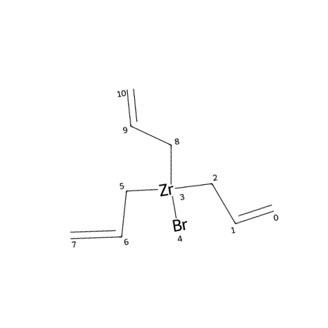 C=C[CH2][Zr]([Br])([CH2]C=C)[CH2]C=C